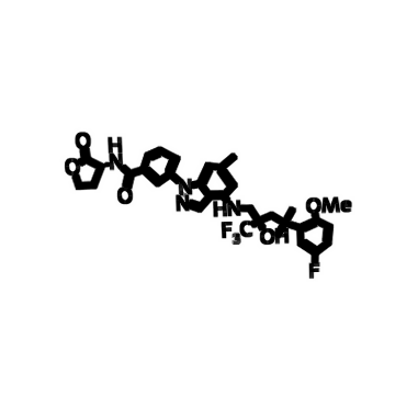 COc1ccc(F)cc1C(C)(C)CC(O)(CNc1cc(C)cc2c1cnn2-c1cccc(C(=O)N[C@@H]2CCOC2=O)c1)C(F)(F)F